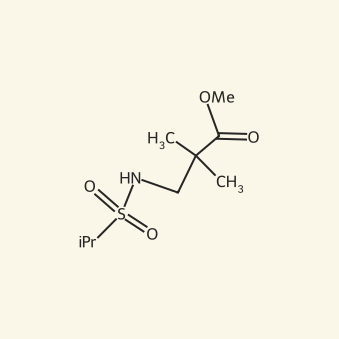 COC(=O)C(C)(C)CNS(=O)(=O)C(C)C